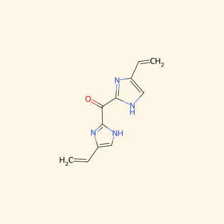 C=Cc1c[nH]c(C(=O)c2nc(C=C)c[nH]2)n1